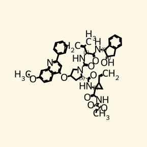 C=CC1C[C@]1(NC(=O)[C@@H]1CC(Oc2cc(-c3ccccc3)nc3cc(OC)ccc23)CN1C(=O)N[C@@H](C(=C)C)C(=O)N[C@H]1c2ccccc2C[C@H]1O)C(=O)NS(C)(=O)=O